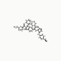 CC(C)CNC(=O)c1[nH]c2ccc(N(Cc3cncn3Cc3ccc(C#N)cc3)C(=O)C3CCCCC3)cc2c1-c1ccccc1